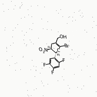 O=[N+]([O-])[C@H]1CC(CO)=C(Br)C[C@@H]1c1cc(F)c(F)cc1F